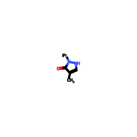 Cc1c[nH]n(C(C)C)c1=O